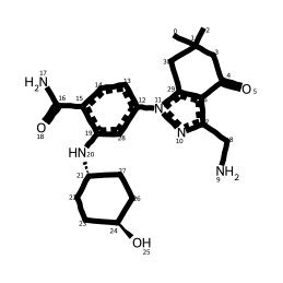 CC1(C)CC(=O)c2c(CN)nn(-c3ccc(C(N)=O)c(N[C@H]4CC[C@H](O)CC4)c3)c2C1